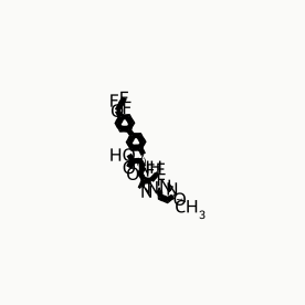 COc1ccc(-n2ncc(C(=O)N[C@@H](Cc3ccc(-c4ccc(OC(F)(F)F)cc4)cc3)C(=O)O)c2C(F)(F)F)nn1